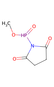 CO[PH](=O)N1C(=O)CCC1=O